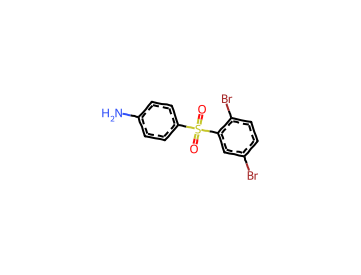 Nc1ccc(S(=O)(=O)c2cc(Br)ccc2Br)cc1